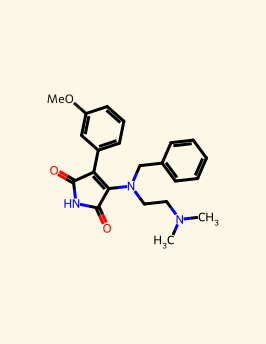 COc1cccc(C2=C(N(CCN(C)C)Cc3ccccc3)C(=O)NC2=O)c1